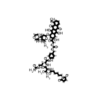 COc1cccc2c1C(=O)c1c(O)c3c(c(O)c1C2=O)C[C@@](O)(C(=O)COC(=O)OCc1ccc(NC(=O)[C@@H](CCCNC(N)=O)NC(=O)[C@H](NC(=O)CCCCCN2C(=O)C=CC2=O)C(C)C)cc1)C[C@@H]3O[C@H]1C[C@H]2[C@H](O[C@@H]3COCCN32)[C@H](C)O1